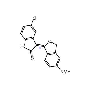 CNc1ccc2c(c1)CO/C2=C1/C(=O)Nc2ccc(Cl)cc21